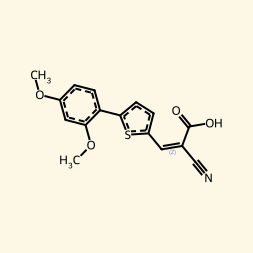 COc1ccc(-c2ccc(/C=C(/C#N)C(=O)O)s2)c(OC)c1